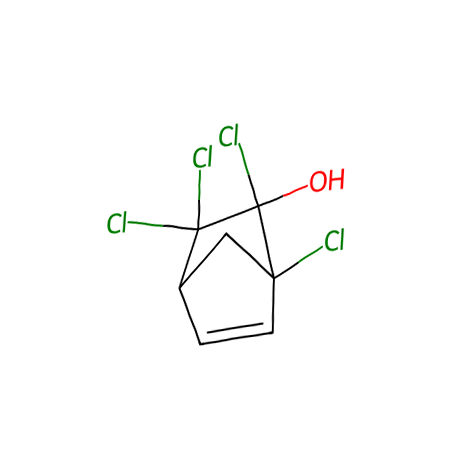 OC1(Cl)C2(Cl)C=CC(C2)C1(Cl)Cl